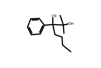 CC(C)(O)C(C#N)(CCCI)c1ccccc1